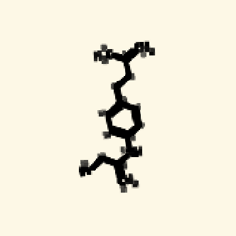 C=C(C)CCc1ccc(NC(=C)CC(C)C)cc1